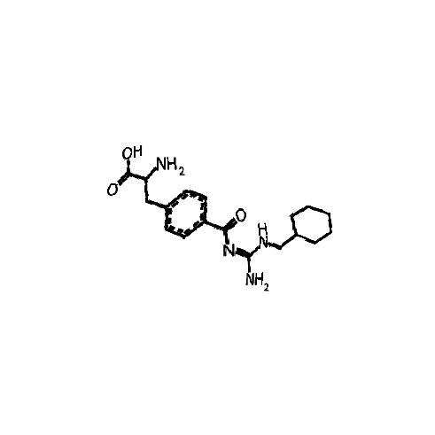 NC(=NC(=O)c1ccc(CC(N)C(=O)O)cc1)NCC1CCCCC1